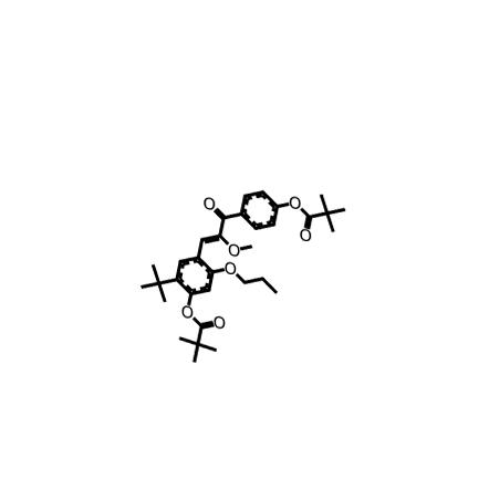 CCCOc1cc(OC(=O)C(C)(C)C)c(C(C)(C)C)cc1C=C(OC)C(=O)c1ccc(OC(=O)C(C)(C)C)cc1